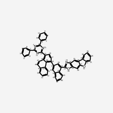 c1ccc(-c2nc(-c3ccccc3)nc(-c3ccc(-c4cc(-c5nc6cc7c(cc6o5)oc5ccccc57)c5ccccc5c4)c4c3ccc3ccccc34)n2)cc1